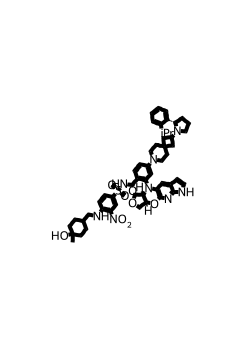 CC(C)c1ccccc1[C@@H]1CCCN1C1CC2(CCN(c3ccc(C(=O)NS(=O)(=O)c4ccc(NCC5CCC(C)(O)CC5)c([N+](=O)[O-])c4)c(N4c5cc6cc[nH]c6nc5O[C@H]5COC[C@@H]54)c3)CC2)C1